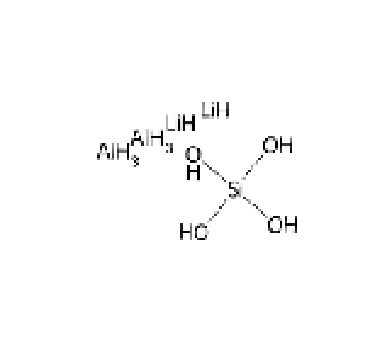 O[Si](O)(O)O.[AlH3].[AlH3].[LiH].[LiH]